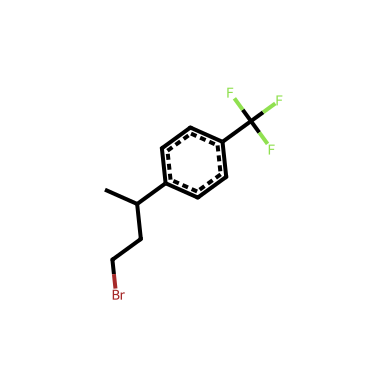 CC(CCBr)c1ccc(C(F)(F)F)cc1